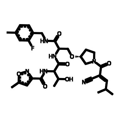 Cc1ccc(CNC(=O)C(CO[C@@H]2CCN(C(=O)C(C#N)=CC(C)C)C2)NC(=O)C(NC(=O)c2cc(C)on2)C(C)O)c(F)c1